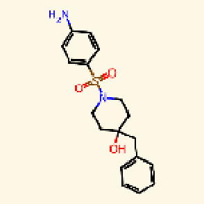 Nc1ccc(S(=O)(=O)N2CCC(O)(Cc3ccccc3)CC2)cc1